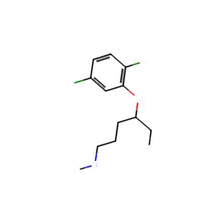 CC(C)CC(CCCNC(=O)O)Oc1cc(Cl)ccc1Cl